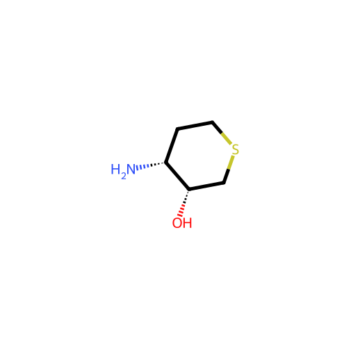 N[C@@H]1CCSC[C@@H]1O